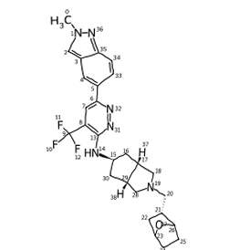 Cn1cc2cc(-c3cc(C(F)(F)F)c(N[C@H]4C[C@@H]5CN(C[C@H]6CC7CCC6O7)C[C@@H]5C4)nn3)ccc2n1